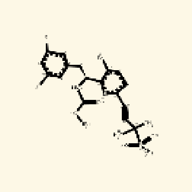 CC(C)(C)OC(=O)N[C@@H](Cc1cc(F)cc(F)c1)c1nc(C#CC(C)(C)S(C)(=O)=O)ccc1Br